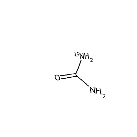 NC([15NH2])=O